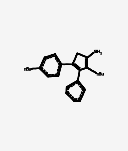 CCCCC1=C([SiH3])CC(c2ccc(CCCC)cc2)=C1c1ccccc1